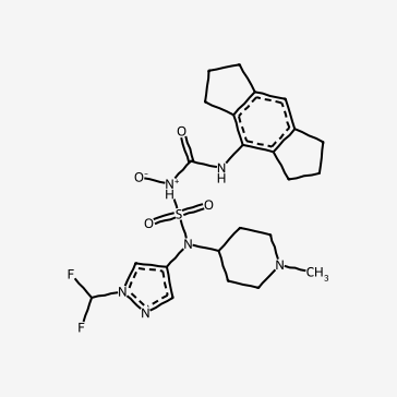 CN1CCC(N(c2cnn(C(F)F)c2)S(=O)(=O)[NH+]([O-])C(=O)Nc2c3c(cc4c2CCC4)CCC3)CC1